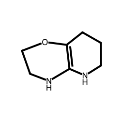 C1CNC2=C(C1)OCCN2